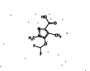 Cc1c(C(=O)O)nn(C)c1OC(F)F